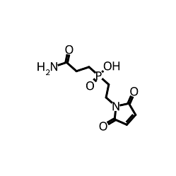 NC(=O)CCP(=O)(O)CCN1C(=O)C=CC1=O